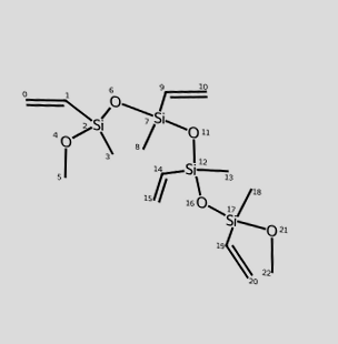 C=C[Si](C)(OC)O[Si](C)(C=C)O[Si](C)(C=C)O[Si](C)(C=C)OC